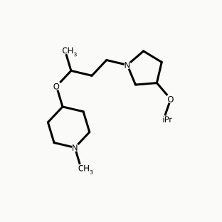 CC(C)OC1CCN(CCC(C)OC2CCN(C)CC2)C1